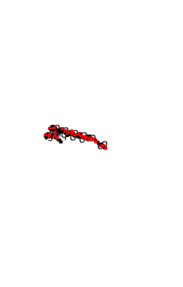 C=CC(=O)OCCCCCCOc1ccc(C(=O)O[C@H]2CC[C@@H](C(=O)Oc3ccc(C(=O)Oc4ccc(C(=O)OC5CCCCC5)c(/C=N/N(CCCCCC)C5Nc6ccccc6S5)c4)c(F)c3)CC2)cc1